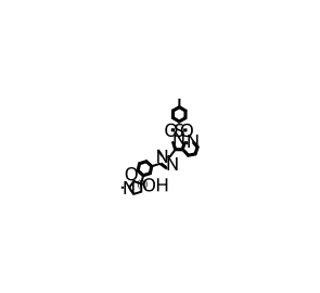 Cc1ccc(S(=O)(=O)n2cc(-c3ncc(-c4cccc([C@]5(O)CCN(C)C5=O)c4)n3C)c3cccnc32)cc1